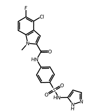 Cn1c(C(=O)Nc2ccc(S(=O)(=O)Nc3ccn[nH]3)cc2)cc2c(Cl)c(F)ccc21